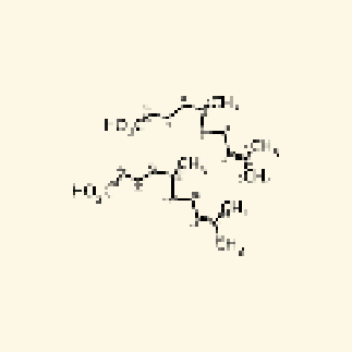 CC(C)=CCCC(C)CCCC(=O)O.CC(C)=CCCC(C)CCCC(=O)O